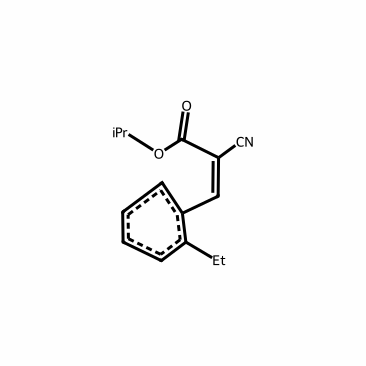 CCc1ccccc1C=C(C#N)C(=O)OC(C)C